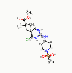 COC(=O)C(C)(C)Cc1cnc(NC2CCN(S(C)(=O)=O)CC2)nc1Cl